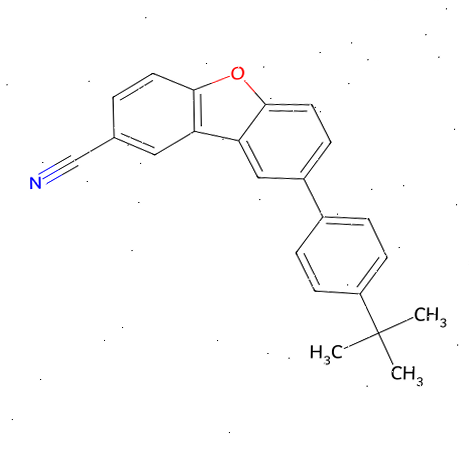 CC(C)(C)c1ccc(-c2ccc3oc4ccc(C#N)cc4c3c2)cc1